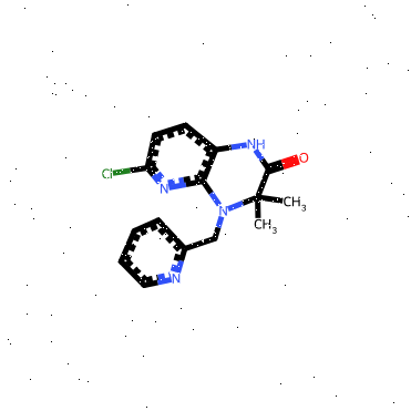 CC1(C)C(=O)Nc2ccc(Cl)nc2N1Cc1ccccn1